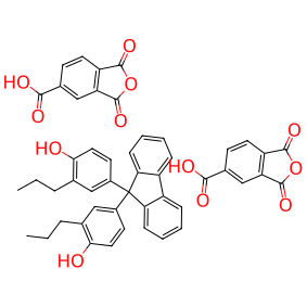 CCCc1cc(C2(c3ccc(O)c(CCC)c3)c3ccccc3-c3ccccc32)ccc1O.O=C(O)c1ccc2c(c1)C(=O)OC2=O.O=C(O)c1ccc2c(c1)C(=O)OC2=O